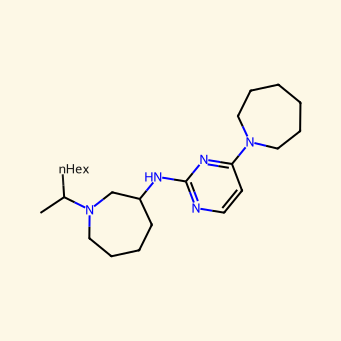 CCCCCCC(C)N1CCCCC(Nc2nccc(N3CCCCCC3)n2)C1